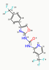 O=C(Nc1cc(C(F)(F)F)ccn1)Nc1nc(-c2ccc(C(F)(F)F)cc2)co1